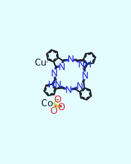 O=[S](=O)([Co])Oc1cccc2c3nc4nc(nc5[nH]c(nc6nc(nc([nH]3)c12)-c1ccccc1-6)c1ccccc51)-c1ccccc1-4.[Cu]